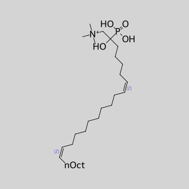 CCCCCCCC/C=C\CCCCCCCC/C=C\CCCCC(O)(C[N+](C)(C)C)P(=O)(O)O